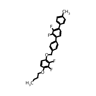 CCCCOc1ccc(OCc2ccc(-c3ccc(-c4ccc(C)cc4)c(F)c3F)cc2)c(F)c1F